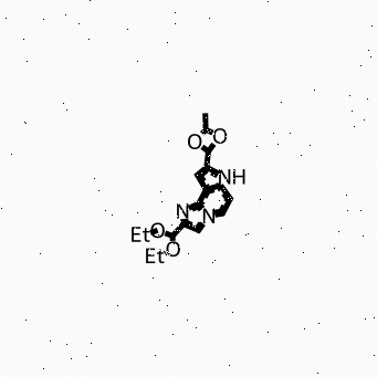 CCOC(OCC)c1cn2ccc3[nH]c(C4OC(C)O4)cc3c2n1